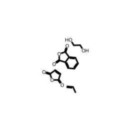 C=CC.O=C1C=CC(=O)O1.O=C1OC(=O)c2ccccc21.OCCO